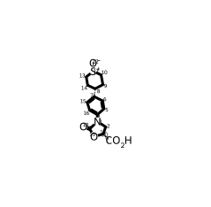 O=C(O)[C@H]1CN(c2ccc([C@H]3CC[S@@+]([O-])CC3)cc2)C(=O)O1